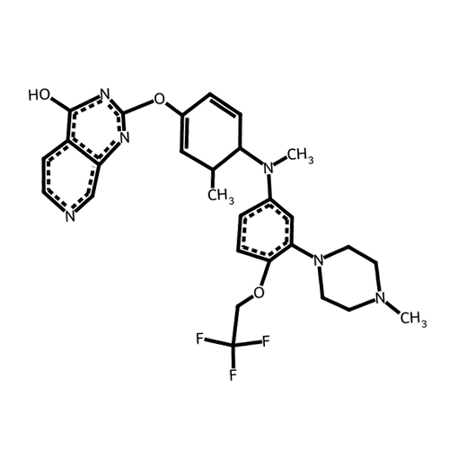 CC1C=C(Oc2nc(O)c3ccncc3n2)C=CC1N(C)c1ccc(OCC(F)(F)F)c(N2CCN(C)CC2)c1